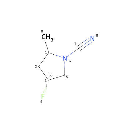 CC1C[C@@H](F)CN1C#N